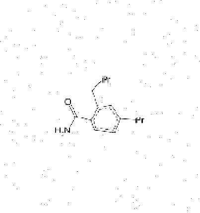 CC(C)Cc1cc(C(C)C)ccc1C(N)=O